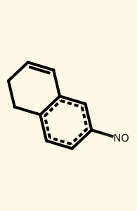 O=Nc1ccc2c(c1)C=CCC2